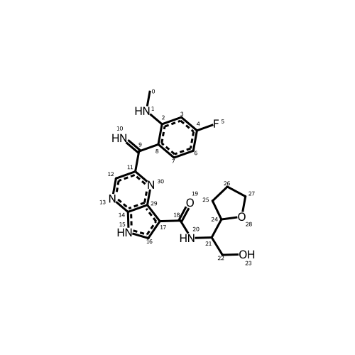 CNc1cc(F)ccc1C(=N)c1cnc2[nH]cc(C(=O)NC(CO)C3CCCO3)c2n1